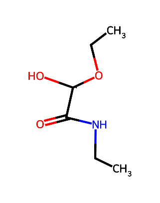 CCNC(=O)[C](O)OCC